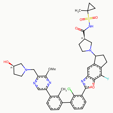 COc1nc(-c2cccc(-c3cccc(-c4nc5cc6c(c(F)c5o4)CCC6N4CC[C@@H](C(=O)NS(=O)(=O)C5(C)CC5)C4)c3Cl)c2C)cnc1CN1CC[C@@H](O)C1